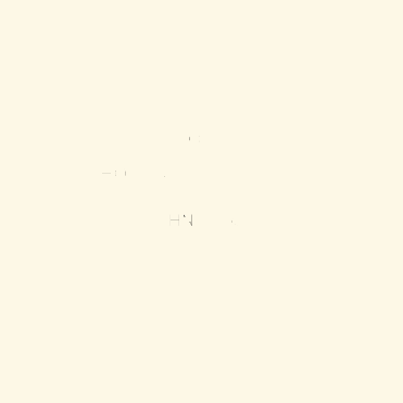 CCSNC(=O)O